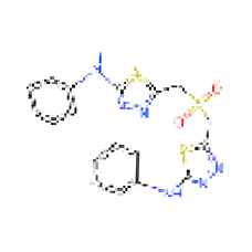 O=S(=O)(Cc1nnc(Nc2ccccc2)s1)Cc1nnc(Nc2ccccc2)s1